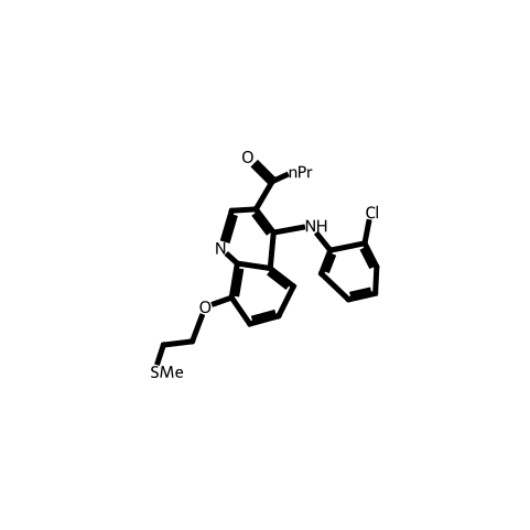 CCCC(=O)c1cnc2c(OCCSC)cccc2c1Nc1ccccc1Cl